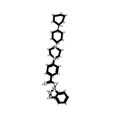 O=C(On1nnc2ccccc21)c1ccc(N2CCN([C@H]3CC[C@H](C4CCCCC4)CC3)CC2)cc1